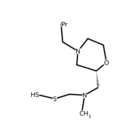 CC(C)CN1CCO[C@H](CN(C)CSS)C1